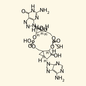 Nc1nc2c(nnn2[C@@H]2O[C@@H]3CO[P@@](=O)(S)O[C@H]4[C@@H](O)[C@H](n5cnc6c(N)ncnc65)[C@H]5CC54COP(=O)(O)O[C@@H]2[C@@H]3O)c(=O)[nH]1